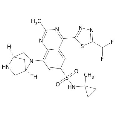 Cc1nc(-c2nnc(C(F)F)s2)c2cc(S(=O)(=O)NC3(C)CC3)cc(N3C[C@H]4C[C@@H]3CN4)c2n1